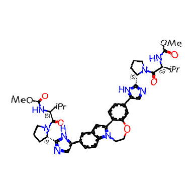 COC(=O)N[C@H](C(=O)N1CCC[C@H]1c1ncc(-c2ccc3c(c2)OCCn2c-3cc3cc(-c4cnc([C@@H]5CCCN5C(=O)[C@@H](NC(=O)OC)C(C)C)[nH]4)ccc32)[nH]1)C(C)C